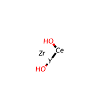 [OH][Y][Ce][OH].[Zr]